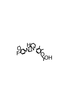 COc1cc(N2CCN3[C@@H](CCC[C@@H]3c3ccc(OCC(C)O)c(C)c3C)C2)ccc1F